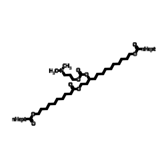 CCCCCCCC(=O)OCCCCCCCCCCC(CCOC(=O)CCCCCCCCCOC(=O)CCCCCCC)OC(=O)OCCCN(C)C